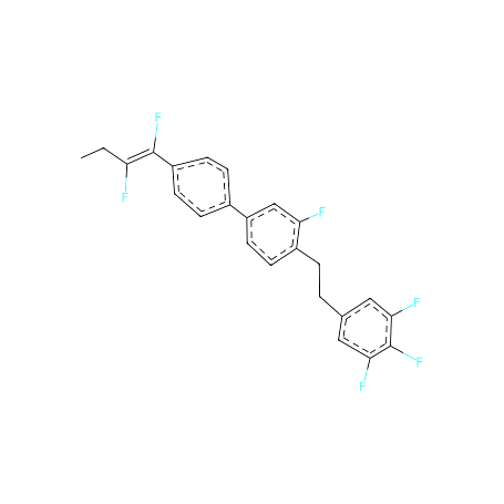 CC/C(F)=C(\F)c1ccc(-c2ccc(CCc3cc(F)c(F)c(F)c3)c(F)c2)cc1